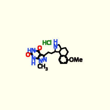 COc1cccc2c1CCC1CNC(CCc3nn(C)c4[nH]c(=O)[nH]c(=O)c34)C21.Cl